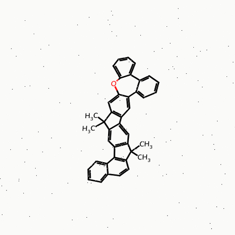 CC1(C)c2cc3c(cc2-c2cc4c(cc21)-c1c(ccc2ccccc12)C4(C)C)-c1ccccc1-c1ccccc1O3